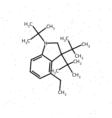 CCc1cccc2c1C(C(C)(C)C)(C(C)(C)C)CN2C(C)(C)C